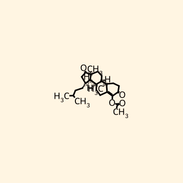 CC(=O)OC1=C2CC[C@H]3[C@@H]4[C@@H](CCC(C)C)CC(=O)[C@@]4(C)CC[C@@H]3[C@@]2(C)CCC1=O